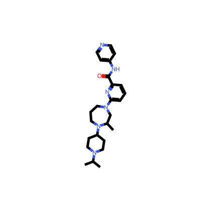 CC(C)N1CCC(N2CCCN(c3cccc(C(=O)Nc4ccncc4)n3)CC2C)CC1